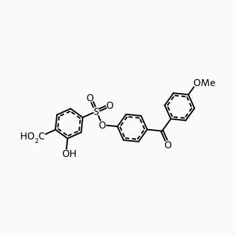 COc1ccc(C(=O)c2ccc(OS(=O)(=O)c3ccc(C(=O)O)c(O)c3)cc2)cc1